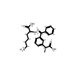 C[C@H](C(=O)O)c1cccc(C(=O)c2ccccc2)c1.NCCCCC(N)C(=O)O